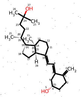 C=C1CC[C@H](O)CC1=CC=C1CCC[C@@]2(C)[C@@H]1CC[C@@H]2[C@H](C)CCC(C)(C)O